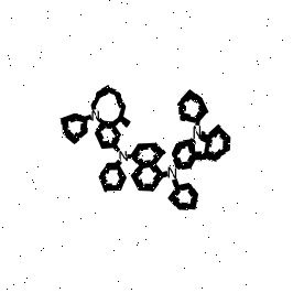 C=C1/C=C\C=C/CN(c2ccccc2)c2ccc(N(c3ccccc3)c3cccc4c(N(c5ccccc5)c5ccc6c(c5)c5ccccc5n6-c5ccccc5)cccc34)cc21